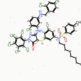 CCCCCCCCN(c1cc(Cl)cc(SC2C(=O)N(c3c(Cl)c(Cl)c(Cl)c(Cl)c3Cl)N=C2Nc2cc(NCc3ccc(Cl)cc3Cl)ccc2Cl)c1)S(=O)(=O)c1ccc(C)cc1